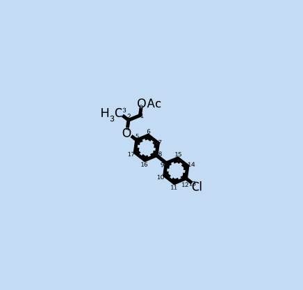 CC(=O)OCC(C)Oc1ccc(-c2ccc(Cl)cc2)cc1